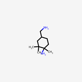 CC1(C)CC(CN)CCC1(C)N